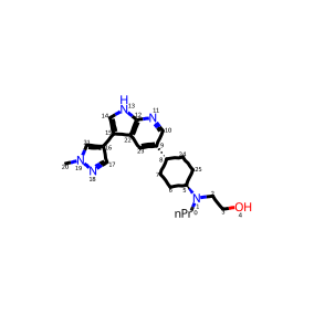 CCCN(CCO)[C@H]1CC[C@H](c2cnc3[nH]cc(-c4cnn(C)c4)c3c2)CC1